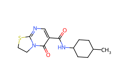 CC1CCC(NC(=O)c2cnc3n(c2=O)CCS3)CC1